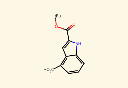 CC(C)(C)OC(=O)c1cc2c(C(=O)O)cccc2[nH]1